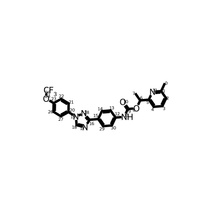 Cc1cccc(C(C)OC(=O)Nc2ccc(-c3ncn(-c4ccc(OC(F)(F)F)cc4)n3)cc2)n1